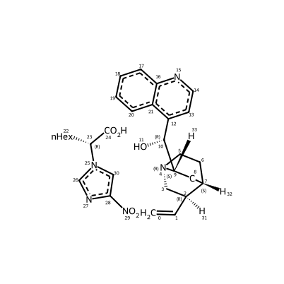 C=C[C@H]1C[N@]2CC[C@H]1C[C@H]2[C@H](O)c1ccnc2ccccc12.CCCCCC[C@H](C(=O)O)n1cnc([N+](=O)[O-])c1